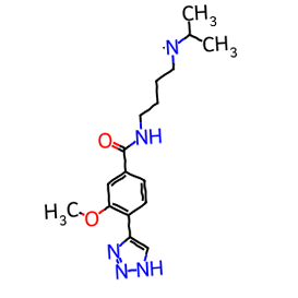 COc1cc(C(=O)NCCCC[N]C(C)C)ccc1-c1c[nH]nn1